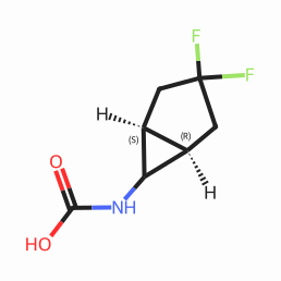 O=C(O)NC1[C@H]2CC(F)(F)C[C@@H]12